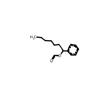 CCCCCCC(OC=O)c1ccccc1